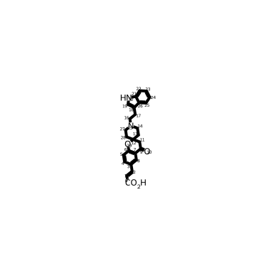 O=C(O)C=Cc1ccc2c(c1)C(=O)CC1(CCN(CCc3c[nH]c4ccccc34)CC1)O2